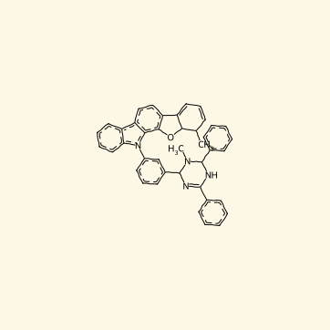 CC1C=CC=C2c3ccc4c5ccccc5n(-c5cccc(C6N=C(c7ccccc7)NC(c7ccccc7)N6C)c5)c4c3OC21